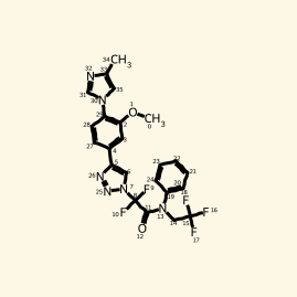 COc1cc(-c2cn(C(F)(F)C(=O)N(CC(F)(F)F)c3ccccc3)nn2)ccc1-n1cnc(C)c1